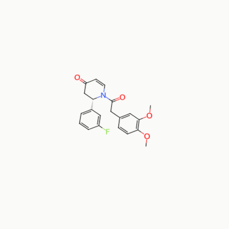 COc1ccc(CC(=O)N2C=CC(=O)C[C@H]2c2cccc(F)c2)cc1OC